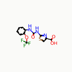 O=C(Nc1nc(C(=O)O)cs1)Nc1ccccc1OC(F)(F)F